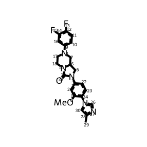 COc1cc(N2CC3CN(c4ccc(F)c(F)c4)CCN3C2=O)ccc1-n1cnc(C)c1